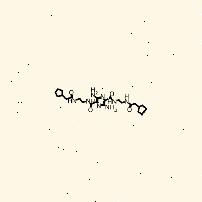 Nc1nc(C(=O)NCCNC(=O)CC2CCCC2)c(N)nc1C(=O)NCCNC(=O)CC1CCCC1